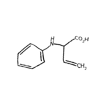 C=CC(Nc1ccccc1)C(=O)O